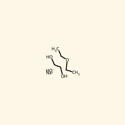 CCOCC.OCCO.[Na+].[OH-]